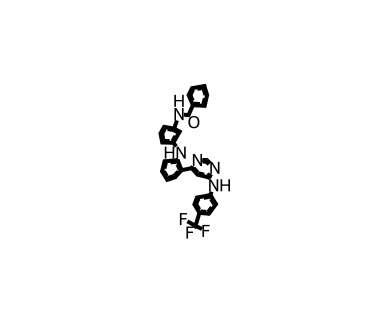 O=C(Nc1cccc(Nc2ccccc2-c2cc(Nc3ccc(C(F)(F)F)cc3)ncn2)c1)c1ccccc1